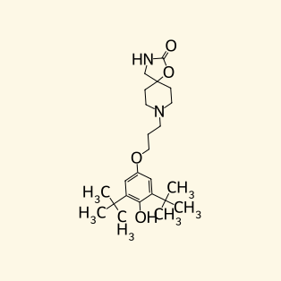 CC(C)(C)c1cc(OCCCN2CCC3(CC2)CNC(=O)O3)cc(C(C)(C)C)c1O